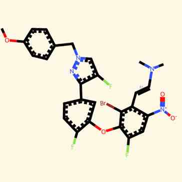 COc1ccc(Cn2cc(F)c(-c3ccc(F)c(Oc4c(F)cc([N+](=O)[O-])c(/C=C/N(C)C)c4Br)c3)n2)cc1